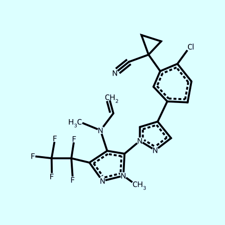 C=CN(C)c1c(C(F)(F)C(F)(F)F)nn(C)c1-n1cc(-c2ccc(Cl)c(C3(C#N)CC3)c2)cn1